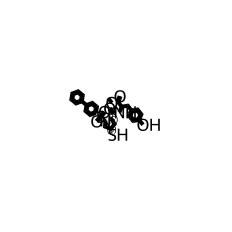 COC(=O)C(Cc1ccc(O)cc1)NC(=O)[C@@H]1C[C@H](S)CN1S(=O)(=O)c1ccc(-c2ccccc2)cc1